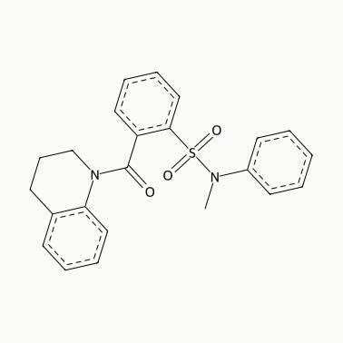 CN(c1ccccc1)S(=O)(=O)c1ccccc1C(=O)N1CCCc2ccccc21